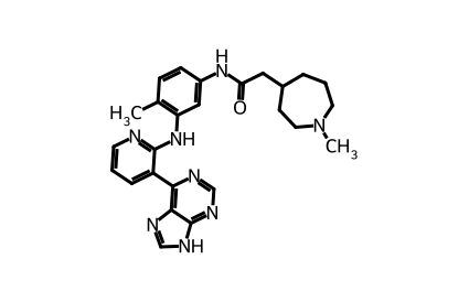 Cc1ccc(NC(=O)CC2CCCN(C)CC2)cc1Nc1ncccc1-c1ncnc2[nH]cnc12